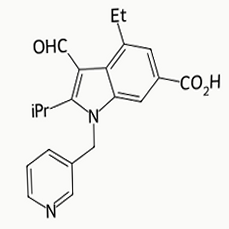 CCc1cc(C(=O)O)cc2c1c(C=O)c(C(C)C)n2Cc1cccnc1